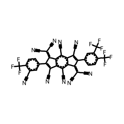 N#CC(C#N)=C1C(c2ccc(C(F)(F)F)c(C#N)c2)=C(C#N)c2c(C#N)c3c(c(C#N)c21)C(C#N)=C(c1ccc(C(F)(F)F)c(C(F)(F)F)c1)C3=C(C#N)C#N